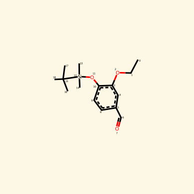 CCOc1cc(C=O)ccc1O[Si](C)(C)C(C)(C)C